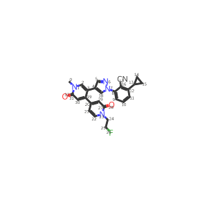 Cn1cc(-c2cnn(-c3cccc(C4CC4)c3C#N)c2)c(-c2ccn(CCF)c(=O)c2)cc1=O